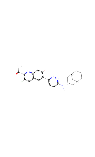 CNC(=O)c1nc2cc(O)c(-c3ccc(N(C)[C@H]4C[C@]5(C)CCC[C@](C)(C4)C5)nn3)cc2cc1F